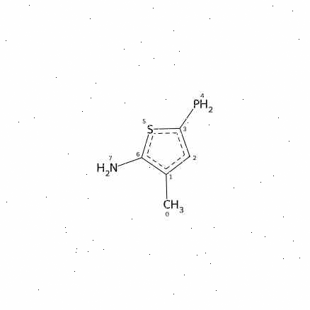 Cc1cc(P)sc1N